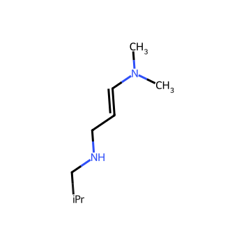 CC(C)CNCC=CN(C)C